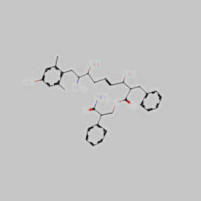 Cc1cc(O)cc(C)c1CC(N)C(O)CC=CC(O)C(Cc1ccccc1)C(=O)OCC(C(N)=O)c1ccccc1